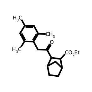 CCOC(=O)C1C2CCC(C2)C1C(=O)Cc1c(C)cc(C)cc1C